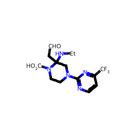 CCNC1(CC=O)CN(c2nccc(C(F)(F)F)n2)CCN1C(=O)O